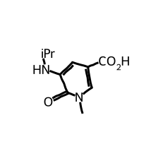 CC(C)Nc1cc(C(=O)O)cn(C)c1=O